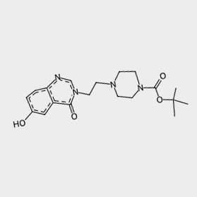 CC(C)(C)OC(=O)N1CCN(CCn2cnc3ccc(O)cc3c2=O)CC1